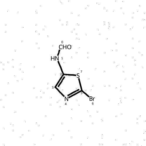 O=CNc1cnc(Br)s1